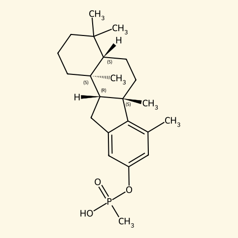 Cc1cc(OP(C)(=O)O)cc2c1[C@@]1(C)CC[C@H]3C(C)(C)CCC[C@]3(C)[C@H]1C2